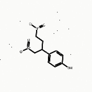 O=[N+]([O-])CCC(C[N+](=O)[O-])c1ccc(O)cc1